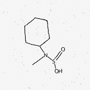 CN(C1CCCCC1)S(=O)O